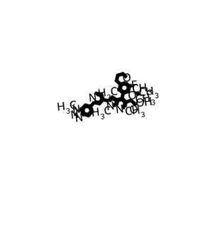 Cc1nc2c(cc(-c3ccnc(-c4ccc5nnn(C)c5c4)c3)n2C)c(-c2cc(F)c3c(c2C)CCCO3)c1[C@H](OC(C)(C)C)C(=O)O